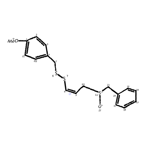 COc1ccc(CSS/C=C\C[S+]([O-])Cc2ccccc2)cc1